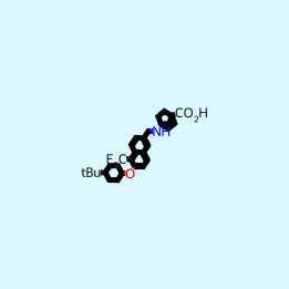 CC(C)(C)C1CCC(Oc2ccc3cc(CNC45CCC(C(=O)O)(CC4)C5)ccc3c2C(F)(F)F)CC1